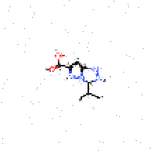 CC(C)C1N=Nc2cc(C(=O)O)nn21